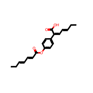 CCC=CC=CC(=O)Oc1ccc(C(=CC=CCC)C(=O)O)cc1